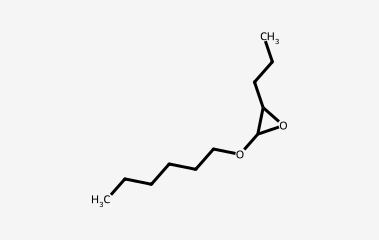 CCCCCCOC1OC1CCC